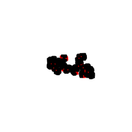 c1ccc(-c2nc(-c3cc(-n4c5ccccc5c5cc6ccccc6cc54)c4c(c3)oc3ccccc34)nc(-c3ccc4oc5cc(-c6cccc7cc(-c8nc(-c9cc(-n%10c%11ccccc%11c%11cc%12ccccc%12cc%11%10)c%10c(c9)oc9ccccc9%10)nc(-c9ccc%10oc%11ccccc%11c%10c9)n8)ccc67)ccc5c4c3)n2)cc1